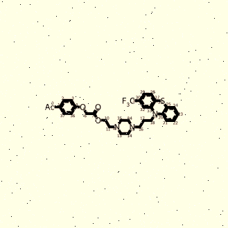 CC(=O)c1ccc(OCC(=O)OCCN2CCN(CCCN3c4ccccc4Sc4ccc(C(F)(F)F)cc43)CC2)cc1